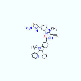 CCCCC(NC(=O)C1=CC2=C(CC1)C(C1CCCC1)C(c1ccccn1)N2C)C1=NC2C=C(C3=CSC(N)N3)CCC2N1C